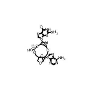 Nc1nc2c(ncn2C2OC3OCCC4C5OCC4(COP(=O)(O)OC2C3O)OC5n2cnc3c(N)ncnc32)c(=O)[nH]1